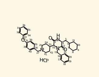 Cl.O=C1N[C@@H](CC2CCCCC2)C(=O)N(Cc2ccccc2)C1C1CCN(Cc2ccc(Oc3ccccc3)cc2)CC1